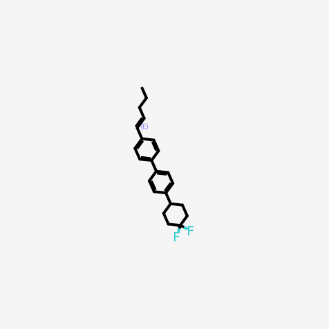 CCC/C=C/c1ccc(-c2ccc(C3CCC(F)(F)CC3)cc2)cc1